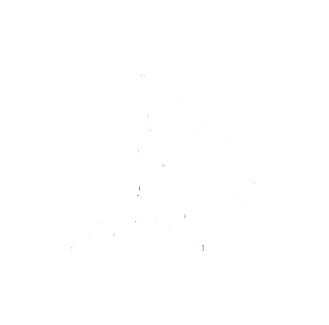 CCN(C(=O)N1CCNC(=O)C1=O)[C@H](C(=O)N[C@@H]1C(=O)N2C(C(=O)OC(c3ccccc3)c3ccccc3)=C(COC(N)=O)CS[C@H]12)c1ccc(N)cc1.Cc1ccc(S(=O)(=O)O)cc1